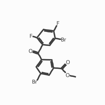 COC(=O)c1cc(Br)cc(C(=O)c2cc(Br)c(F)cc2F)c1